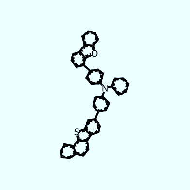 c1ccc(N(c2ccc(-c3ccc4c(c3)sc3c5ccccc5ccc43)cc2)c2ccc(-c3cccc4c3oc3ccccc34)cc2)cc1